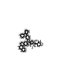 CC(C)(c1ccccc1)c1ccc(N(c2ccc(-c3ccccc3-c3ccccc3)cc2)c2ccc3c(ccc4ccc5ccccc5c43)c2)cc1